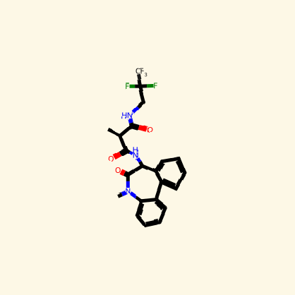 CC(C(=O)NCC(F)(F)C(F)(F)F)C(=O)NC1C(=O)N(C)c2ccccc2-c2ccccc21